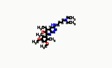 CCC1C(=O)C(c2c(C)c(OC)cc(OC)c2C)=Nc2nnc(NCCCCN(CC)CC)cc21